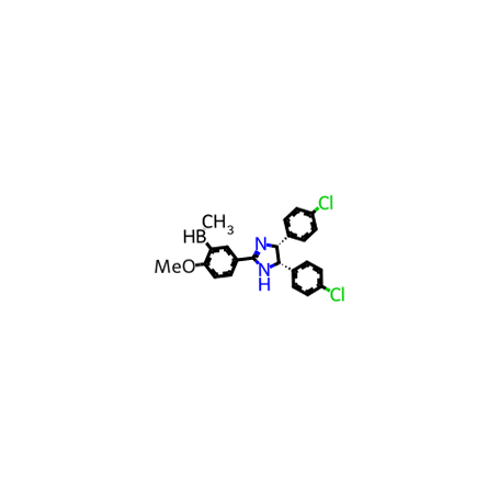 CBc1cc(C2=N[C@H](c3ccc(Cl)cc3)[C@H](c3ccc(Cl)cc3)N2)ccc1OC